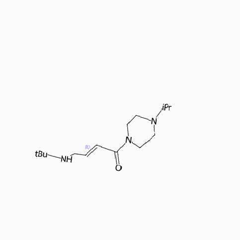 CC(C)N1CCN(C(=O)/C=C/CNC(C)(C)C)CC1